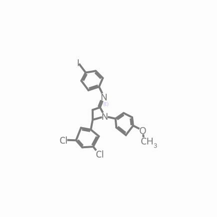 COc1ccc(N2/C(=N/c3ccc(I)cc3)CC2c2cc(Cl)cc(Cl)c2)cc1